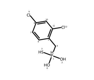 O[PH](O)(S)Cc1ccc(Cl)cc1Cl